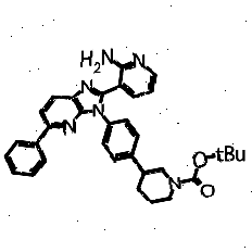 CC(C)(C)OC(=O)N1CCCC(c2ccc(-n3c(-c4cccnc4N)nc4ccc(-c5ccccc5)nc43)cc2)C1